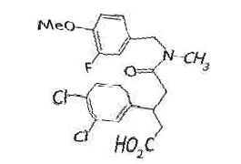 COc1ccc(CN(C)C(=O)CC(CC(=O)O)c2ccc(Cl)c(Cl)c2)cc1F